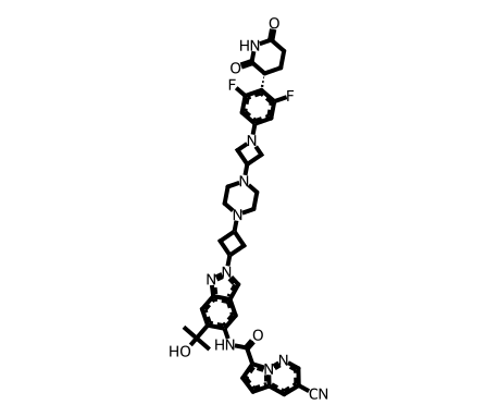 CC(C)(O)c1cc2nn(C3CC(N4CCN(C5CN(c6cc(F)c([C@H]7CCC(=O)NC7=O)c(F)c6)C5)CC4)C3)cc2cc1NC(=O)c1ccc2cc(C#N)cnn12